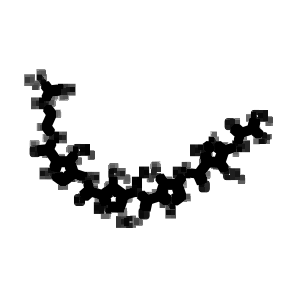 C=C(Br)C(=O)Nc1n[nH]c(C(=O)Nc2c[nH]c(C(=O)Nc3c[nH]c(C(=O)Nc4c[nH]c(C(=O)NCCNC(=N)N)c4C)c3C)c2C)c1C.Cl